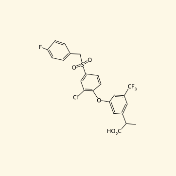 CC(C(=O)O)c1cc(Oc2ccc(S(=O)(=O)Cc3ccc(F)cc3)cc2Cl)cc(C(F)(F)F)c1